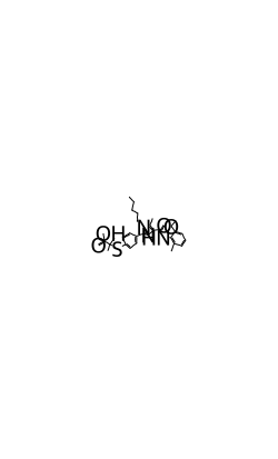 CCCCCn1c(-c2ccc(SC(C)(C)C(=O)O)cc2)nc(C(=O)Nc2c(C)cccc2OC)c1C